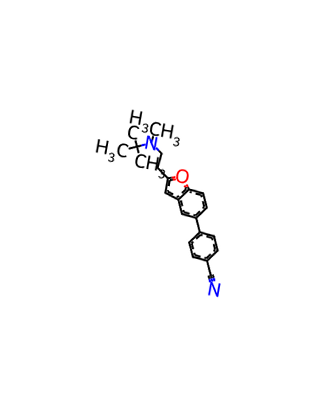 CN(CCc1cc2cc(-c3ccc(C#N)cc3)ccc2o1)C(C)(C)C